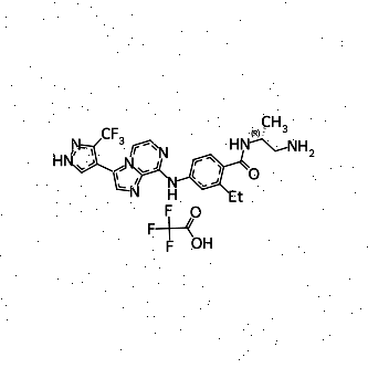 CCc1cc(Nc2nccn3c(-c4c[nH]nc4C(F)(F)F)cnc23)ccc1C(=O)N[C@H](C)CN.O=C(O)C(F)(F)F